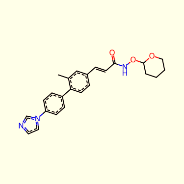 Cc1cc(/C=C/C(=O)NOC2CCCCO2)ccc1-c1ccc(-n2ccnc2)cc1